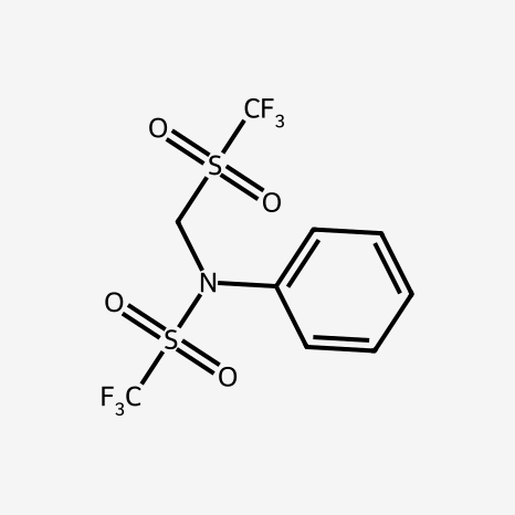 O=S(=O)(CN(c1ccccc1)S(=O)(=O)C(F)(F)F)C(F)(F)F